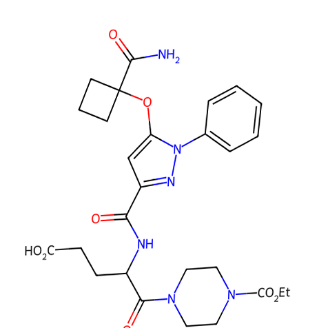 CCOC(=O)N1CCN(C(=O)C(CCC(=O)O)NC(=O)c2cc(OC3(C(N)=O)CCC3)n(-c3ccccc3)n2)CC1